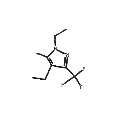 CCc1c(C(F)(F)F)nn(CC)c1C